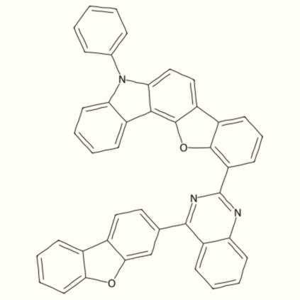 c1ccc(-n2c3ccccc3c3c4oc5c(-c6nc(-c7ccc8c(c7)oc7ccccc78)c7ccccc7n6)cccc5c4ccc32)cc1